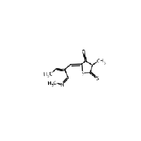 C/C=C(\C=N/C)/C=C1\SC(=S)C(C)C1=O